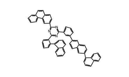 c1cc(-c2ccc3cc(-c4cccc5ccccc45)ccc3c2)cc(-c2nc(-c3ccc4ccc5ccccc5c4c3)nc(-c3ccccc3-c3cccc4ccccc34)n2)c1